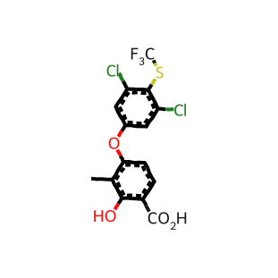 Cc1c(Oc2cc(Cl)c(SC(F)(F)F)c(Cl)c2)ccc(C(=O)O)c1O